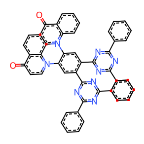 O=c1ccn(-c2cc(-c3nc(-c4ccccc4)nc(-c4ccccc4)n3)c(-c3nc(-c4ccccc4)nc(-c4ccccc4)n3)cc2-n2ccc(=O)c3ccccc32)c2ccccc12